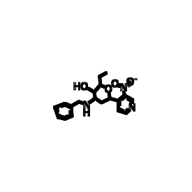 CCC1OC(c2ccncc2[N+](=O)[O-])CC(NCc2ccccc2)C1O